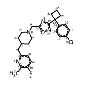 Cc1nc(CC2CCN(Cc3nc(C4(c5ccc(Cl)cc5)CCC4)no3)CC2)ccc1F